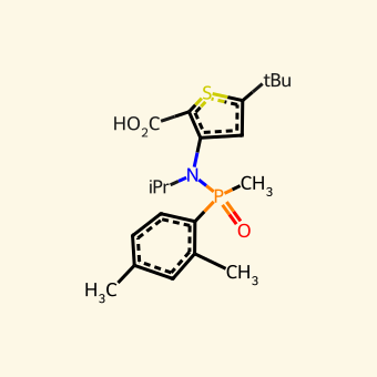 Cc1ccc(P(C)(=O)N(c2cc(C(C)(C)C)sc2C(=O)O)C(C)C)c(C)c1